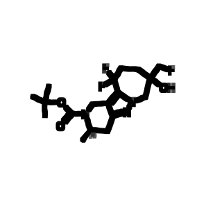 C[C@@H]1Cc2nn3c(c2CN1C(=O)OC(C)(C)C)C(F)(F)CCC(O)(CF)C3